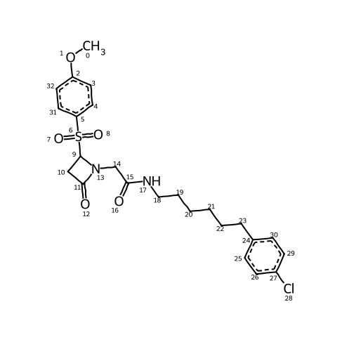 COc1ccc(S(=O)(=O)C2CC(=O)N2CC(=O)NCCCCCCc2ccc(Cl)cc2)cc1